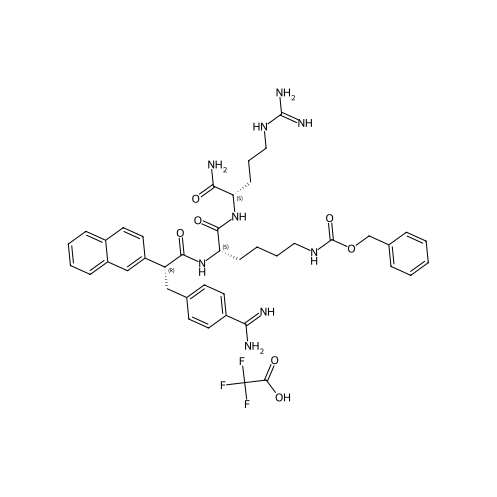 N=C(N)NCCC[C@H](NC(=O)[C@H](CCCCNC(=O)OCc1ccccc1)NC(=O)[C@H](Cc1ccc(C(=N)N)cc1)c1ccc2ccccc2c1)C(N)=O.O=C(O)C(F)(F)F